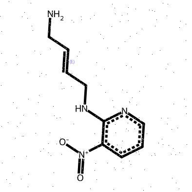 NC/C=C/CNc1ncccc1[N+](=O)[O-]